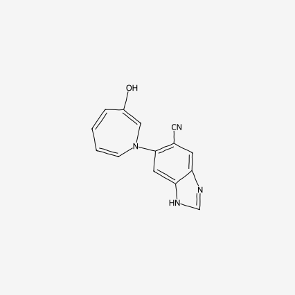 N#Cc1cc2nc[nH]c2cc1N1C=CC=CC(O)=C1